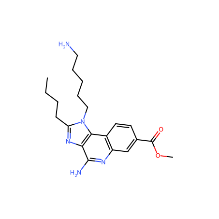 CCCCc1nc2c(N)nc3cc(C(=O)OC)ccc3c2n1CCCCCN